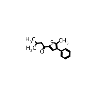 Cc1sc(C(=O)CC(C)C)cc1-c1ccccc1